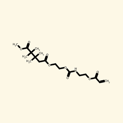 C=CC(=O)OCCNC(=O)OCCOC(=O)CC(C)(C)C(C)(C)C(=O)OC